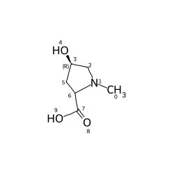 CN1C[C@H](O)CC1C(=O)O